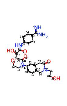 N=C(N)c1ccc(NC(=O)[C@H](O)[C@H]2OCCN(c3ccc4c(c3)CC(=O)N(CCO)C4)C2=O)cc1